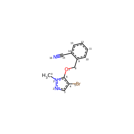 Cn1ncc(Br)c1OCc1ccccc1C#N